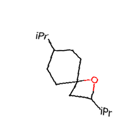 CC(C)C1CCC2(CC1)CC(C(C)C)O2